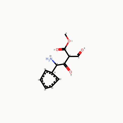 COC(=O)C(C=O)C(=O)C(N)c1ccccc1